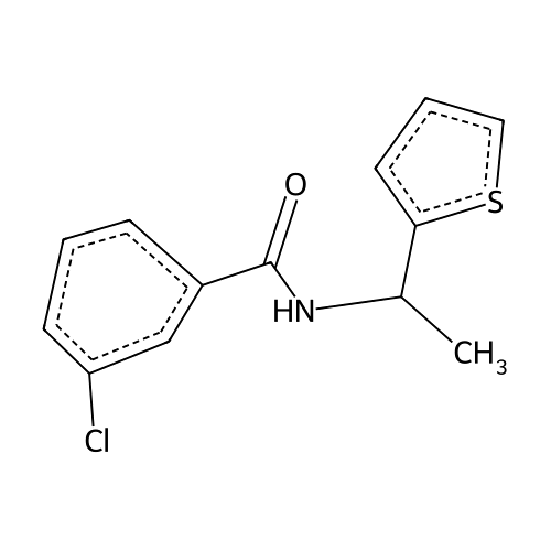 CC(NC(=O)c1cccc(Cl)c1)c1cccs1